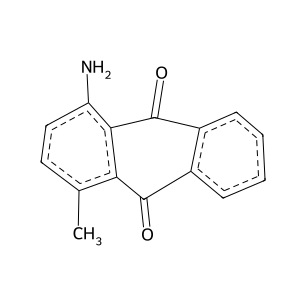 Cc1ccc(N)c2c1C(=O)c1ccccc1C2=O